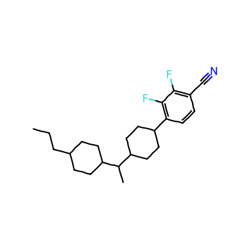 CCCC1CCC(C(C)C2CCC(c3ccc(C#N)c(F)c3F)CC2)CC1